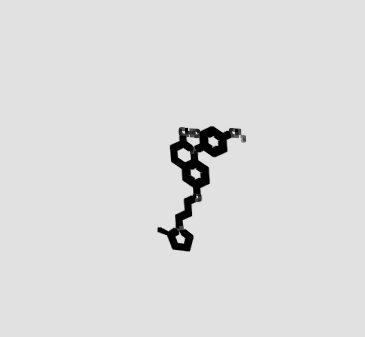 C[C@@H]1CCCN1CCCOc1ccc2c(c1)CCC(C=O)N2c1ccc(C(F)(F)F)cc1